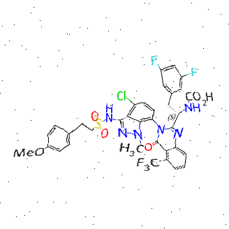 COc1ccc(CCS(=O)(=O)Nc2nn(C)c3c(-n4c([C@H](Cc5cc(F)cc(F)c5)NC(=O)O)nc5cccc(C(F)(F)F)c5c4=O)ccc(Cl)c23)cc1